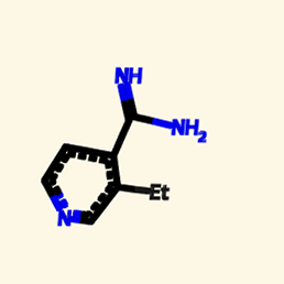 CCc1cnccc1C(=N)N